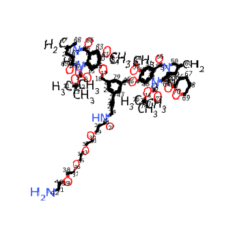 C=C1C[C@H]2[C@H](O)N(C(=O)OC(C)(C)C)c3cc(OCc4cc(C#CCNC(=O)CCOCCOCCOCCOCCN)cc(COc5cc6c(cc5OC)C(=O)N5CC(=C)C[C@H]5[C@H](OC5CCCCO5)N6C(=O)OC(C)(C)C)c4)c(OC)cc3C(=O)N2C1